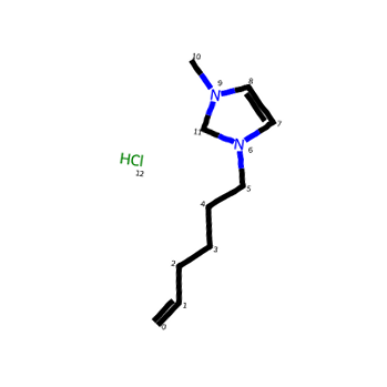 C=CCCCCN1C=CN(C)C1.Cl